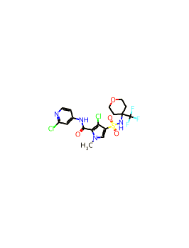 Cn1cc(S(=O)(=O)NC2(C(F)(F)F)CCOCC2)c(Cl)c1C(=O)Nc1ccnc(Cl)c1